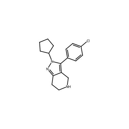 Clc1ccc(-c2c3c(nn2C2CCCC2)CCNC3)cc1